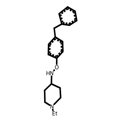 CCN1CCC(NOc2ccc(Cc3ccccc3)cc2)CC1